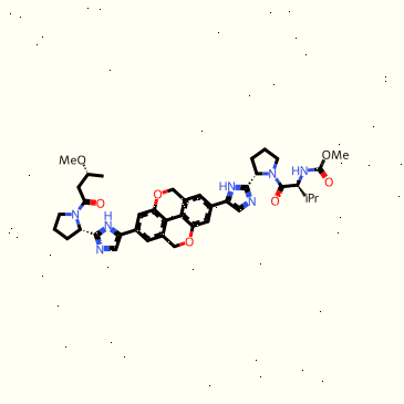 COC(=O)N[C@H](C(=O)N1CCC[C@H]1c1ncc(-c2cc3c4c(c2)OCc2cc(-c5cnc([C@@H]6CCCN6C(=O)C[C@@H](C)OC)[nH]5)cc(c2-4)OC3)[nH]1)C(C)C